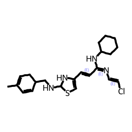 CC1=CCC(CNC2NC(/C=C/C(=N\C=C\Cl)NC3CCCCC3)=CS2)C=C1